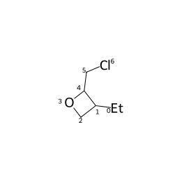 CCC1COC1CCl